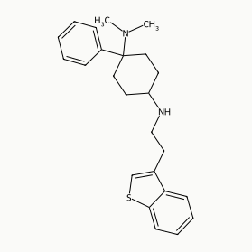 CN(C)C1(c2ccccc2)CCC(NCCc2csc3ccccc23)CC1